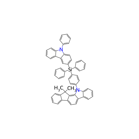 CC1(C)c2ccccc2-c2ccc3c4ccccc4n(-c4ccc([Si](c5ccccc5)(c5ccccc5)c5ccc6c(c5)c5ccccc5n6-c5ccccc5)cc4)c3c21